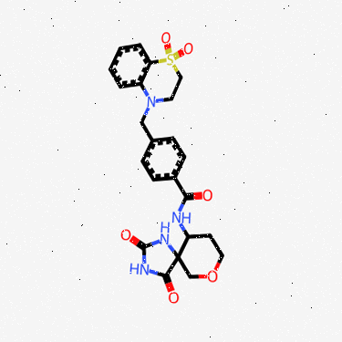 O=C1NC(=O)C2(COCCC2NC(=O)c2ccc(CN3CCS(=O)(=O)c4ccccc43)cc2)N1